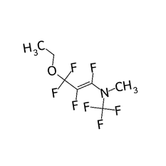 CCOC(F)(F)/C(F)=C(\F)N(C)C(F)(F)F